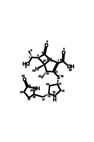 C[C@@H](O)[C@H]1C(=O)N2C(C(=O)O)=C(S[C@@H]3CN[C@H](CC4CCC(=O)N4)C3)[C@H](C)[C@H]12